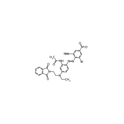 CCN(CCN1C(=O)c2ccccc2C1=O)c1ccc(/N=N/c2c(Br)cc([N+](=O)[O-])cc2C#N)c(NC(C)=O)c1